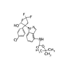 CC(C)(C)OC(=O)Nc1cccc2c1cnn2C(CO)(CC(F)(F)F)c1ccc(Cl)cc1